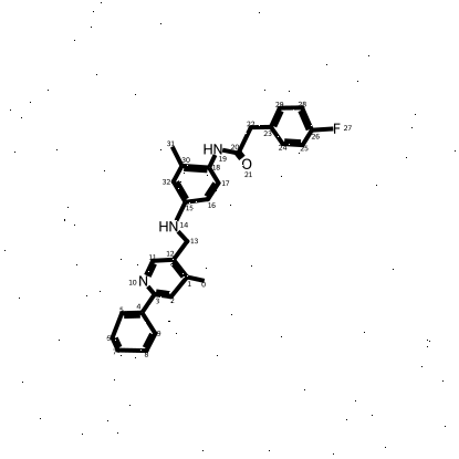 Cc1cc(-c2ccccc2)ncc1CNc1ccc(NC(=O)Cc2ccc(F)cc2)c(C)c1